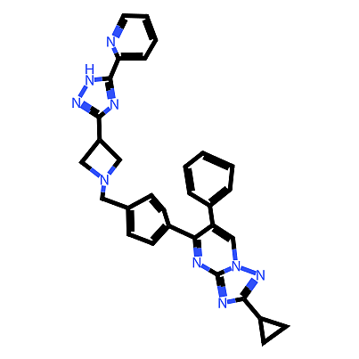 c1ccc(-c2cn3nc(C4CC4)nc3nc2-c2ccc(CN3CC(c4n[nH]c(-c5ccccn5)n4)C3)cc2)cc1